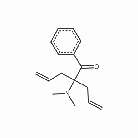 C=CCC(CC=C)(C(=O)c1ccccc1)N(C)C